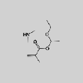 C=C(C)C(=O)OC(C)OCC.CNC